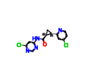 O=C(Nc1cc(Cl)ncn1)[C@H]1C[C@@H]1c1cc(Cl)ccn1